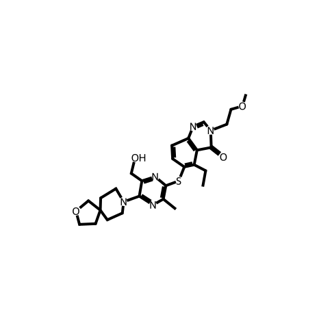 CCc1c(Sc2nc(CO)c(N3CCC4(CCOC4)CC3)nc2C)ccc2ncn(CCOC)c(=O)c12